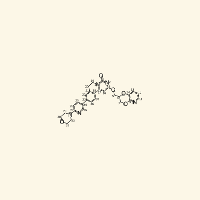 O=c1nc(OCC2COc3ncccc3O2)cc2n1CCc1cc(-c3ccc(N4CCOCC4)nc3)ccc1-2